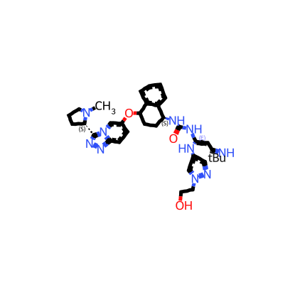 CN1CCC[C@H]1c1nnc2ccc(OC3CC[C@H](NC(=O)N/C(=C/C(=N)C(C)(C)C)Nc4cnn(CCO)c4)c4ccccc43)cn12